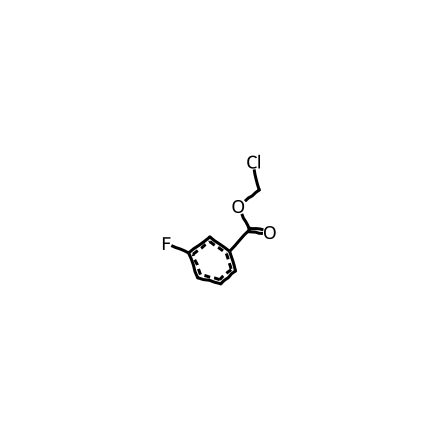 O=C(OCCl)c1cccc(F)c1